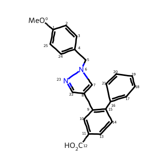 COc1ccc(Cn2cc(-c3cc(C(=O)O)ccc3-c3ccccc3)cn2)cc1